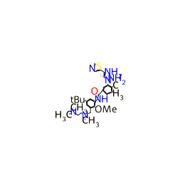 COc1c(CN(C)CCN(C)C)cc(C(C)(C)C)cc1NC(=O)c1ccc(C)c(N(N)/C=C(\N)c2cncs2)c1